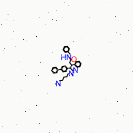 CN(C)CCCCCN(C)C1=Nc2ccccc2C(CC(=O)NCc2ccccc2)C1c1ccc(-c2ccccc2)cc1